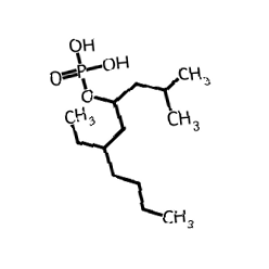 CCCCC(CC)CC(CC(C)C)OP(=O)(O)O